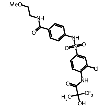 COCCNC(=O)c1ccc(NS(=O)(=O)c2ccc(NC(=O)[C@@](C)(O)C(F)(F)F)c(Cl)c2)cc1